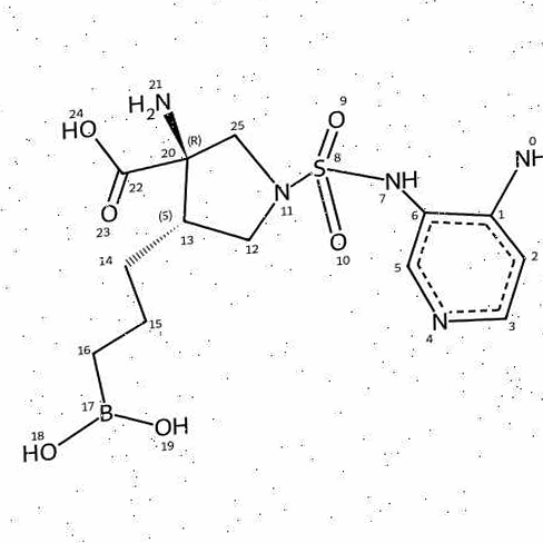 Nc1ccncc1NS(=O)(=O)N1C[C@H](CCCB(O)O)[C@](N)(C(=O)O)C1